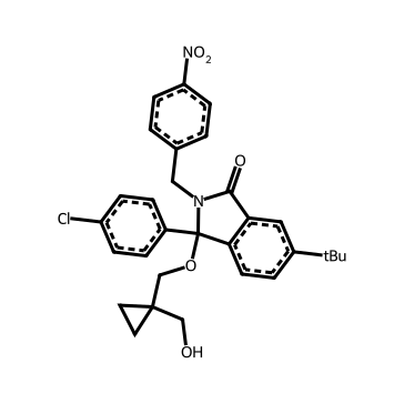 CC(C)(C)c1ccc2c(c1)C(=O)N(Cc1ccc([N+](=O)[O-])cc1)C2(OCC1(CO)CC1)c1ccc(Cl)cc1